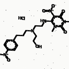 Cl.Cn1c(NCCN(CCO)CCCc2ccc([N+](=O)[O-])cc2)c([N+](=O)[O-])c(=O)n(C)c1=O